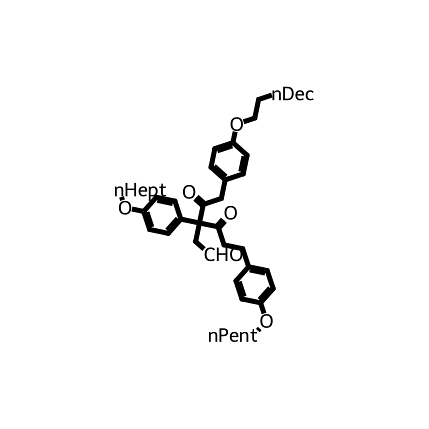 CCCCCCCCCCCCOc1ccc(CC(=O)C(CC=O)(C(=O)CCc2ccc(OCCCCC)cc2)c2ccc(OCCCCCCC)cc2)cc1